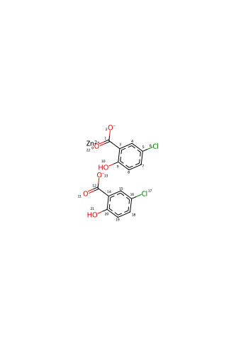 O=C([O-])c1cc(Cl)ccc1O.O=C([O-])c1cc(Cl)ccc1O.[Zn+2]